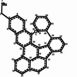 Cc1c2ccc(CC(C)(C)C)cc2cc2c3nccc4ccc5c6cccc(-c7ccccc7)c6n(c12)c5c43